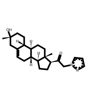 C[C@@]1(O)CC[C@H]2C(=CC[C@@H]3[C@@H]2CC[C@]2(C)[C@@H](C(=O)Cn4cccn4)CC[C@@H]32)C1